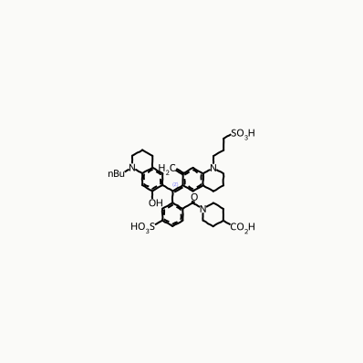 C=c1cc2c(c/c1=C(/c1cc3c(cc1O)N(CCCC)CCC3)c1cc(S(=O)(=O)O)ccc1C(=O)N1CCC(C(=O)O)CC1)CCCN2CCCS(=O)(=O)O